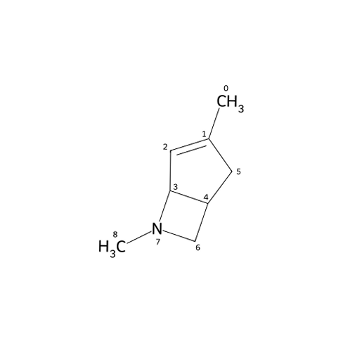 CC1=CC2C(C1)CN2C